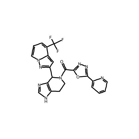 O=C(c1nnc(-c2ccccn2)o1)N1CCc2[nH]cnc2C1c1cc2c(C(F)(F)F)cccn2n1